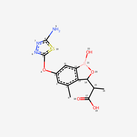 Cc1cc(Oc2nnc(N)s2)cc2c1C(C(C)C(=O)O)OB2O